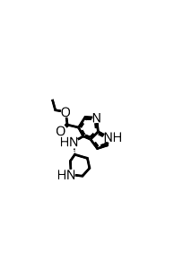 CCOC(=O)c1cnc2[nH]ccc2c1N[C@@H]1CCCNC1